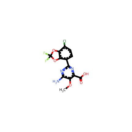 COc1c(N)nc(-c2ccc(Cl)c3c2OC(F)(F)O3)nc1C(=O)O